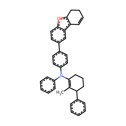 CC1=C(N(c2ccccc2)c2ccc(-c3ccc4oc5c(c4c3)C=CCC5)cc2)CCCC1c1ccccc1